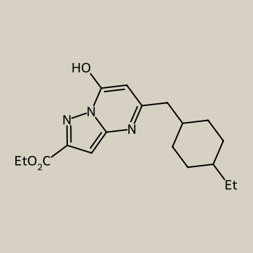 CCOC(=O)c1cc2nc(CC3CCC(CC)CC3)cc(O)n2n1